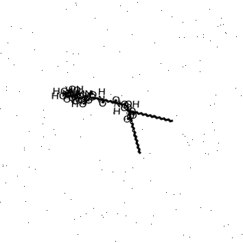 CCCCCCCCC=CCCCCCCCC(=O)OC[C@H](COP(=O)(O)OCCNC(=O)CCCCC(=O)NCCCO[C@@H]1O[C@H](CO)[C@@H](O[C@@H]2O[C@H](CO)[C@H](O)[C@H](O[C@H]3O[C@H](CO)[C@H](O)[C@H](O)[C@H]3O)[C@H]2O)[C@H](O)[C@H]1NC(C)=O)OC(=O)CCCCCCCC=CCCCCCCCC